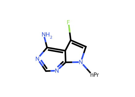 CCCn1cc(F)c2c(N)ncnc21